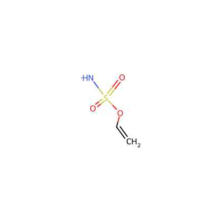 C=COS([NH])(=O)=O